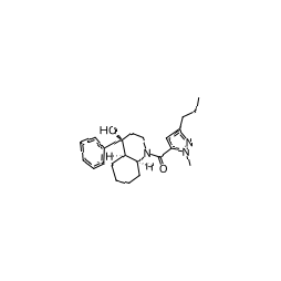 CCCc1cc(C(=O)N2CC[C@@](O)(c3ccccc3)[C@@H]3CCCC[C@@H]32)n(C)n1